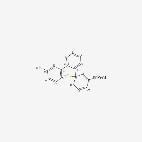 CCCCCC1=CC(F)(c2ccccc2-c2cccc(F)c2)CC=C1